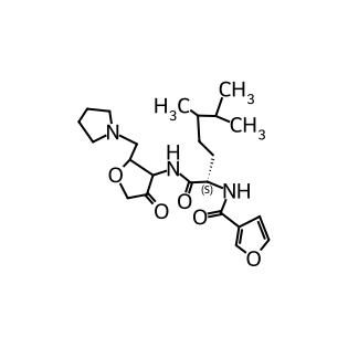 CC(C)C(C)CC[C@H](NC(=O)c1ccoc1)C(=O)NC1C(=O)COC1CN1CCCC1